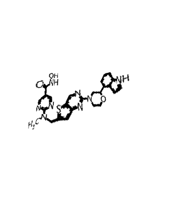 CN(Cc1cc2nc(N3CCOC(c4cccc5[nH]ccc45)C3)ncc2s1)c1ncc(C(=O)NO)cn1